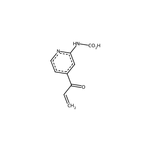 C=CC(=O)c1ccnc(NC(=O)O)c1